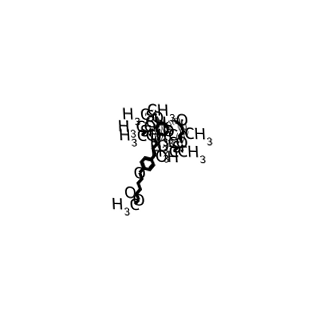 COC(=O)CCCOc1ccc(C(O)CC(=O)C[C@H]2CO[C@@H](C[C@@H]3O[C@H]3[C@H](C)[C@H](C)O[Si](C)(C)C)[C@@H](O[Si](C)(C)C)[C@@H]2O[Si](C)(C)C)cc1